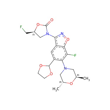 C[C@@H]1CN(c2c(C3OCCO3)cc3c(N4C[C@@H](CF)OC4=O)noc3c2F)C[C@@H](C)O1